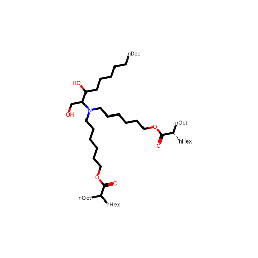 CCCCCCCCCCCCCCCC(O)C(CO)N(CCCCCCOC(=O)C(CCCCCC)CCCCCCCC)CCCCCCOC(=O)[C@@H](CCCCCC)CCCCCCCC